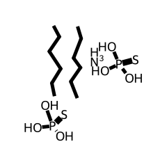 CCCCCC.CCCCCC.N.OP(O)(O)=S.OP(O)(O)=S